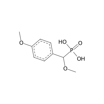 COc1ccc(C(OC)P(=O)(O)O)cc1